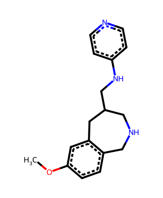 COc1ccc2c(c1)CC(CNc1ccncc1)CNC2